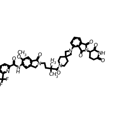 COc1cc2c(cc1NC(=O)c1cccc(C(F)(F)F)n1)CN(CCC(C)(C)C(=O)N1CCC3(CC1)CN(c1cccc4c1C(=O)N(C1CCC(=O)NC1=O)C4=O)C3)C2=O